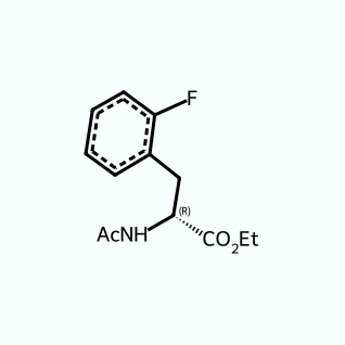 CCOC(=O)[C@@H](Cc1ccccc1F)NC(C)=O